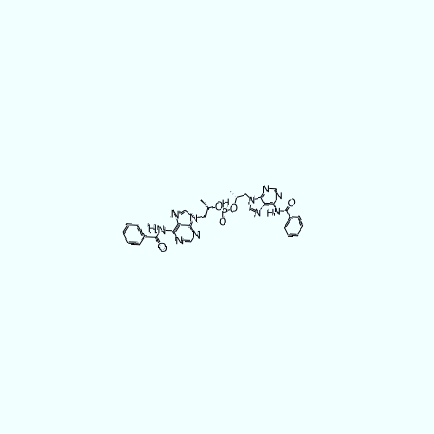 C[C@H](Cn1cnc2c(NC(=O)c3ccccc3)ncnc21)O[PH](=O)O[C@H](C)Cn1cnc2c(NC(=O)c3ccccc3)ncnc21